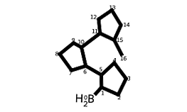 BC1CCCC1C1CCCC1C1CCCC1C